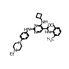 CCN1CCN(c2ccc(Nc3ncc(C(=O)Nc4c(C)cccc4Cl)c(NC4CCC4)n3)cc2)CC1